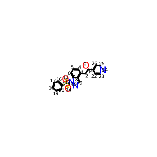 O=C(Cc1cccc2c1cnn2S(=O)(=O)c1ccccc1)c1ccncc1